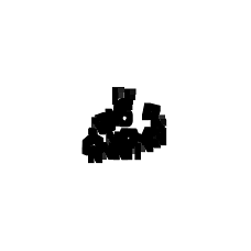 CN(c1cc(-c2ccc3nc(Nc4cc(CN5CCN(C(=O)CC(F)(F)F)CC5)ccn4)[nH]c3c2)ncn1)C1CCC1